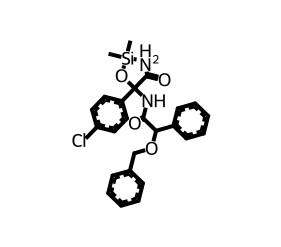 C[Si](C)(C)OC(NC(=O)C(OCc1ccccc1)c1ccccc1)(C(N)=O)c1ccc(Cl)cc1